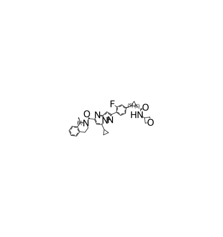 C[C@@H]1c2ccccc2CCN1C(=O)c1cc(C2CC2)n2nc(-c3ccc([C@H]4C[C@@H]4C(=O)NC4COC4)cc3F)cc2n1